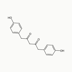 O=C(CC(=O)Cc1ccc(O)cc1)Cc1ccc(O)cc1